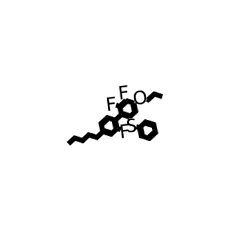 CCCCCc1ccc(-c2c(Sc3ccccc3)cc(OCCC)c(F)c2F)c(F)c1